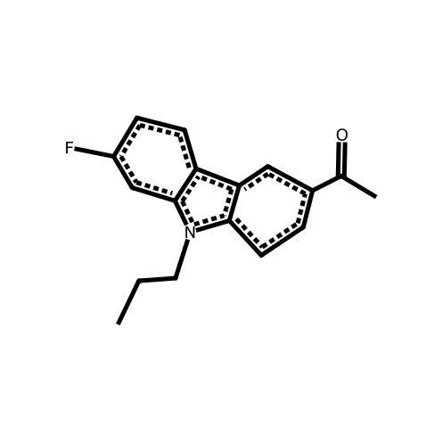 CCCn1c2ccc(C(C)=O)cc2c2ccc(F)cc21